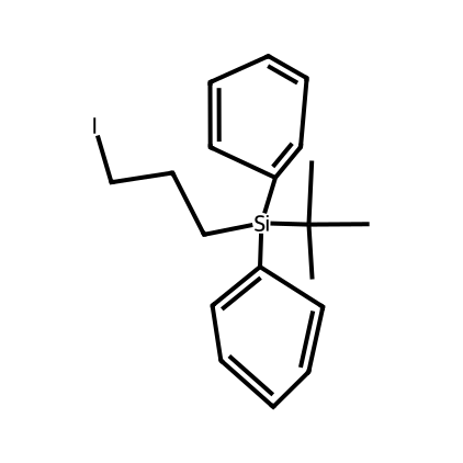 CC(C)(C)[Si](CCCI)(c1ccccc1)c1ccccc1